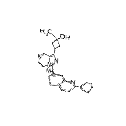 CC1(O)CC(C2=C3C=NC=C[N+]3(N)C(c3ccc4ccc(-c5ccccc5)nc4c3)=N2)C1